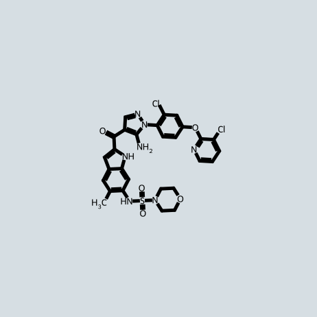 Cc1cc2cc(C(=O)c3cnn(-c4ccc(Oc5ncccc5Cl)cc4Cl)c3N)[nH]c2cc1NS(=O)(=O)N1CCOCC1